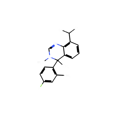 CCC(CC)c1cccc2c1N=CN(C)C2(C)c1ccc(F)cc1C